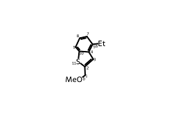 [CH2]OCc1cc2c(CC)cccc2s1